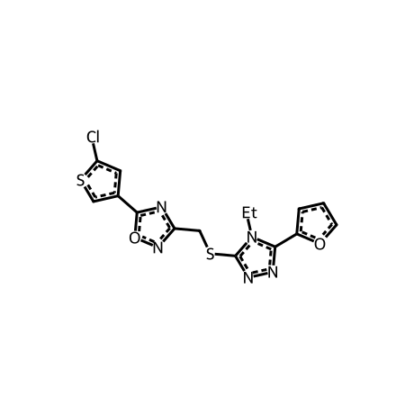 CCn1c(SCc2noc(-c3csc(Cl)c3)n2)nnc1-c1ccco1